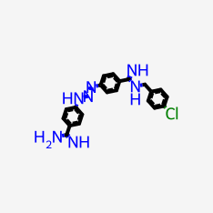 N=C(N)c1ccc(N/N=N/c2ccc(C(=N)NCc3ccc(Cl)cc3)cc2)cc1